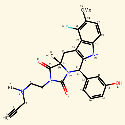 C#CCN(CC)CCN1C(=O)N2[C@H](c3cccc(O)c3)c3[nH]c4ccc(OC)c(F)c4c3C[C@@]2(C)C1=O